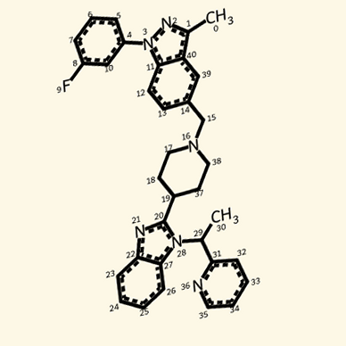 Cc1nn(-c2cccc(F)c2)c2ccc(CN3CCC(c4nc5ccccc5n4C(C)c4ccccn4)CC3)cc12